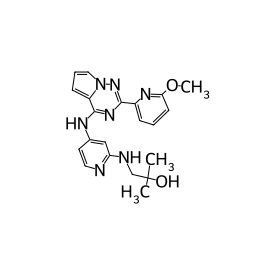 COc1cccc(-c2nc(Nc3ccnc(NCC(C)(C)O)c3)c3cccn3n2)n1